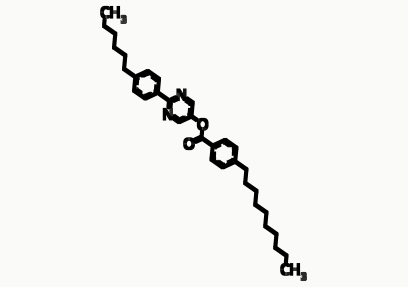 CCCCCCCCCCc1ccc(C(=O)Oc2cnc(-c3ccc(CCCCCC)cc3)nc2)cc1